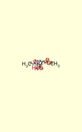 CCCC(=O)Nc1ncc(C=CC(=O)OCC)cc1C(=O)O